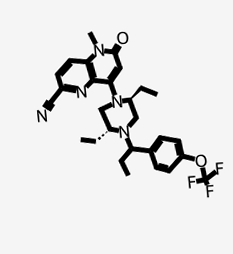 CCC(c1ccc(OC(F)(F)F)cc1)N1C[C@H](CC)N(c2cc(=O)n(C)c3ccc(C#N)nc23)C[C@H]1CC